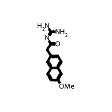 COc1ccc2cc(CC(=O)N=C(N)N)ccc2c1